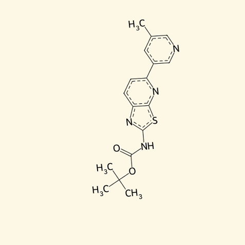 Cc1cncc(-c2ccc3nc(NC(=O)OC(C)(C)C)sc3n2)c1